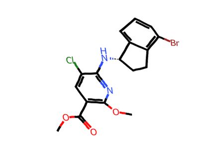 COC(=O)c1cc(Cl)c(N[C@H]2CCc3c(Br)cccc32)nc1OC